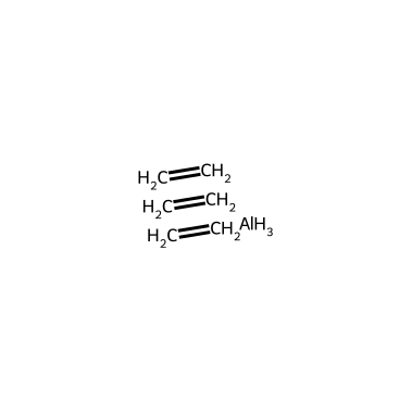 C=C.C=C.C=C.[AlH3]